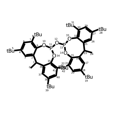 CC1c2cc(C(C)(C)C)cc(C(C)(C)C)c2OP(OP2Oc3c(cc(C(C)(C)C)cc3C(C)(C)C)C(C)c3cc(C(C)(C)C)cc(C(C)(C)C)c3O2)Oc2c1cc(C(C)(C)C)cc2C(C)(C)C